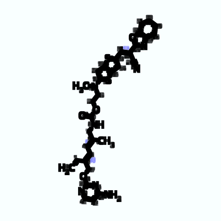 C=C/C(=C\C=C(/C)CNC(=O)OCCN(C)c1cc2sc(/C=C(\C#N)c3nc4ccccc4o3)cc2s1)COc1nccc(N)n1